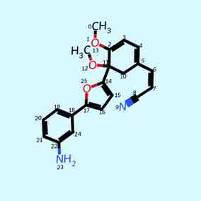 COC1=CC=C(/C=C\C#N)CC1(OC)c1ccc(-c2cccc(N)c2)o1